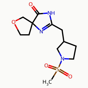 CS(=O)(=O)N1CCC(CC2=NC3(CCOC3)C(=O)N2)C1